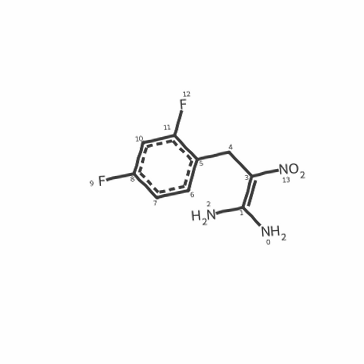 NC(N)=C(Cc1ccc(F)cc1F)[N+](=O)[O-]